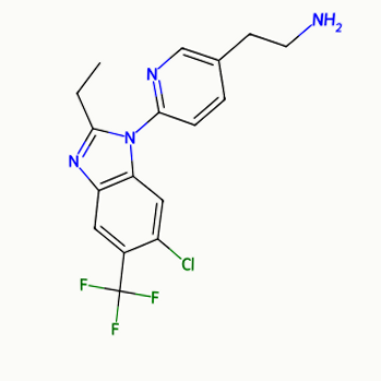 CCc1nc2cc(C(F)(F)F)c(Cl)cc2n1-c1ccc(CCN)cn1